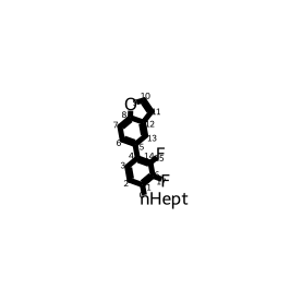 CCCCCCCc1ccc(-c2ccc3occc3c2)c(F)c1F